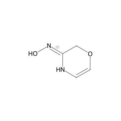 O/N=C1/COC=CN1